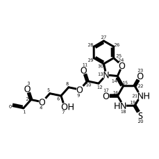 C=CC(=O)OCC(O)COC(=O)CN1C(=C2C(=O)NC(=S)NC2=O)Oc2ccccc21